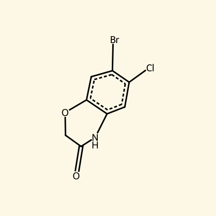 O=C1COc2cc(Br)c(Cl)cc2N1